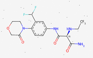 NC(=O)[C@H](NCC(F)(F)F)C(=O)Nc1ccc(N2CCOCC2=O)c(C(F)F)c1